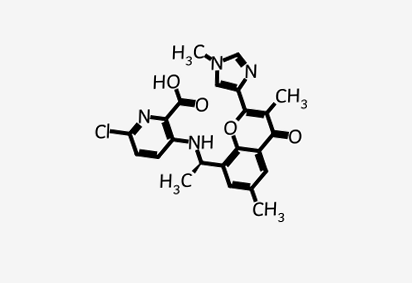 Cc1cc([C@@H](C)Nc2ccc(Cl)nc2C(=O)O)c2oc(-c3cn(C)cn3)c(C)c(=O)c2c1